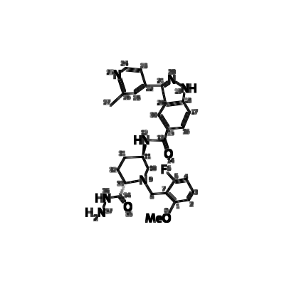 COc1cccc(F)c1CN1C[C@H](NC(=O)c2ccc3[nH]nc(-c4ccnc(C)c4)c3c2)CC[C@H]1C(=O)NN